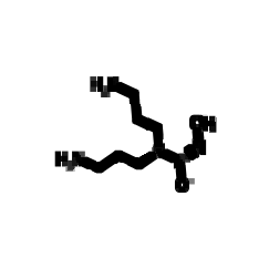 NCCCN(CCCN)/[N+]([O-])=N\O